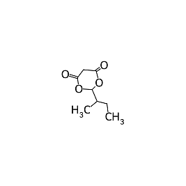 CCC(C)C1OC(=O)CC(=O)O1